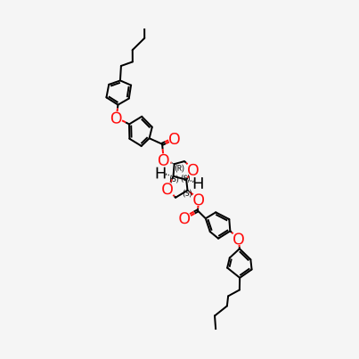 CCCCCc1ccc(Oc2ccc(C(=O)O[C@H]3CO[C@@H]4[C@H]3OC[C@H]4OC(=O)c3ccc(Oc4ccc(CCCCC)cc4)cc3)cc2)cc1